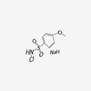 COc1ccc(S(=O)(=O)NCl)cc1.[NaH]